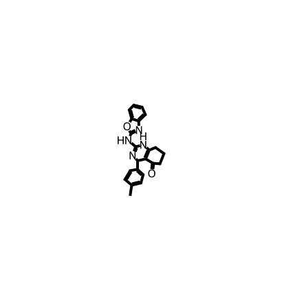 Cc1ccc(C2N=C(Nc3nc4ccccc4o3)NC3=C2C(=O)CCC3)cc1